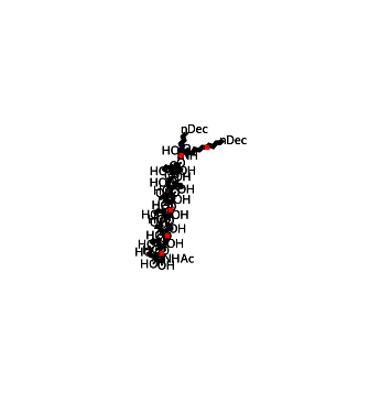 CCCCCCCCCCCCC/C=C/[C@@H](O)[C@H](CO[C@@H]1OC(CO)[C@@H](O[C@@H]2OC(CO)[C@H](O[C@@H]3OC(CO)[C@H](O)[C@H](O[C@H]4OC(CO)[C@H](O)[C@H](O[C@H]5OC(CO)[C@H](O)[C@H](O[C@H]6OC(CO)[C@H](O)[C@H](O[C@@H]7OC(CO)[C@H](O)[C@H](O)C7NC(C)=O)C6O)C5O)C4O)C3O)[C@H](O)C2O)[C@H](O)C1O)NC(=O)CCCCCCCCCCCCCCCCCCC